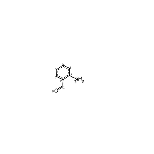 O=[C]c1cc[c]cc1[SiH3]